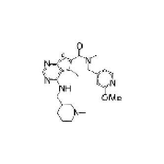 COc1cc(CN(C)C(=O)c2sc3ncnc(NCC4CCCN(C)C4)c3c2C)ccn1